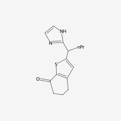 CCCC(c1ncc[nH]1)c1cc2c(s1)C(=O)CCC2